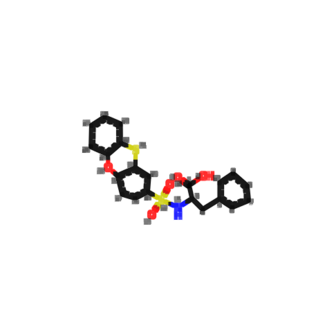 O=C(O)C(Cc1ccccc1)NS(=O)(=O)c1ccc2c(c1)Sc1ccccc1O2